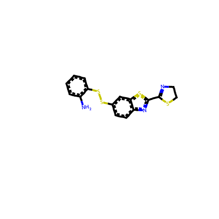 Nc1ccccc1SSc1ccc2nc(C3=NCCS3)sc2c1